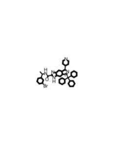 CC(NC(=O)c1nc2cc3c(-c4ccncc4)nn(C(c4ccccc4)(c4ccccc4)c4ccccc4)c3cc2[nH]1)c1cccc(Br)c1